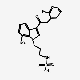 CS(=O)(=O)NCCCn1cc(C(=O)Cc2ccccc2F)c2cccc([N+](=O)[O-])c21